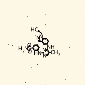 C#CCn1ncc2cc(Nc3nc(Nc4cccc(S(N)(=O)=O)c4)ncc3C)ccc21